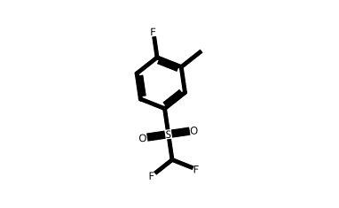 Cc1cc(S(=O)(=O)C(F)F)ccc1F